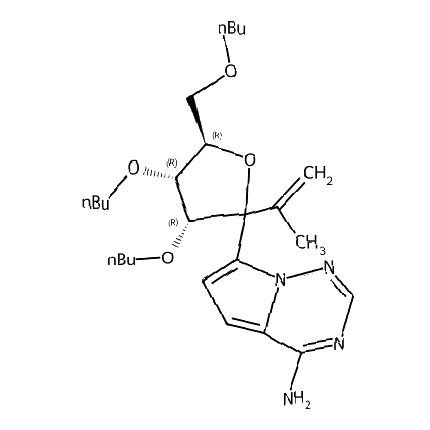 C=C(C)C1(c2ccc3c(N)ncnn23)O[C@H](COCCCC)[C@@H](OCCCC)[C@H]1OCCCC